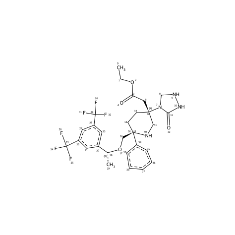 CCOC(=O)C[C@]1(N2CNNC2=O)CC[C@@](CO[C@H](C)c2cc(C(F)(F)F)cc(C(F)(F)F)c2)(c2ccccc2)NC1